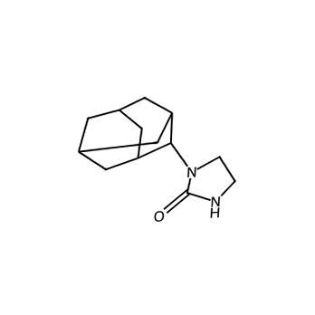 O=C1NCCN1C1C2CC3CC(C2)CC1C3